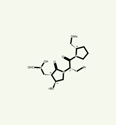 CCCC[C@@H]1CN([C@@H](CC(C)C)C(=O)N2CCC[C@H]2COC)C(=O)[C@H]1CN(O)C=O